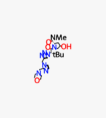 CNC(=O)[C@@H]1C[C@@H](O)CN1C(=O)[C@@H](n1cc(Cn2ccnc2CN2CCOCC2)nn1)C(C)(C)C